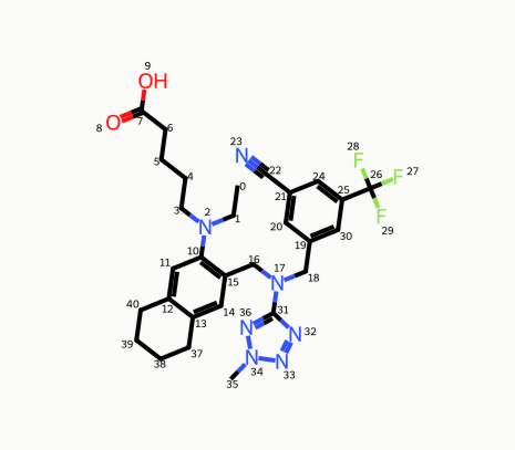 CCN(CCCCC(=O)O)c1cc2c(cc1CN(Cc1cc(C#N)cc(C(F)(F)F)c1)c1nnn(C)n1)CCCC2